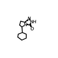 O=c1[nH]nc2n1C(C1CCCCC1)CC2